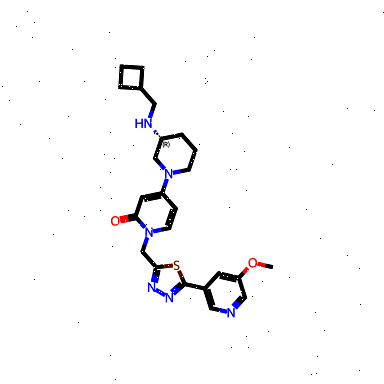 COc1cncc(-c2nnc(Cn3ccc(N4CCC[C@@H](NCC5CCC5)C4)cc3=O)s2)c1